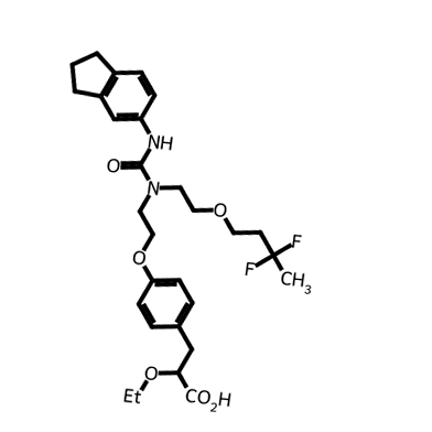 CCOC(Cc1ccc(OCCN(CCOCCC(C)(F)F)C(=O)Nc2ccc3c(c2)CCC3)cc1)C(=O)O